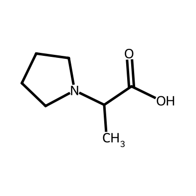 CC(C(=O)O)N1CCCC1